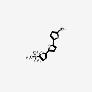 CC(C)(C)c1ccc(-c2ccc(-c3ccc([Si](C)(C)C)s3)s2)s1